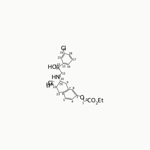 CCOC(=O)COc1ccc2c(c1)C[C@@H](NC[C@H](O)c1cccc(Cl)c1)CC2.[Cl-].[H+]